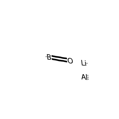 [Al].[B]=O.[Li]